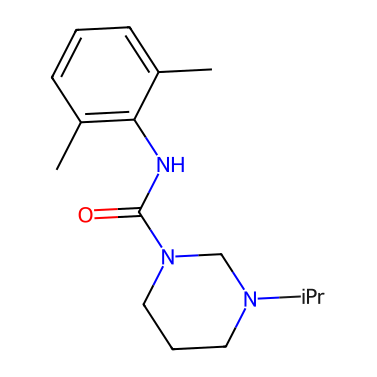 Cc1cccc(C)c1NC(=O)N1CCCN(C(C)C)C1